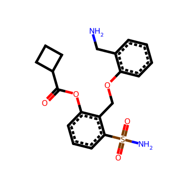 NCc1ccccc1OCc1c(OC(=O)C2CCC2)cccc1S(N)(=O)=O